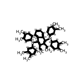 C=Cc1c(C=C)c(N(c2ccc(C)c(C)c2)c2ccc(C)c(C)c2)c2ccccc2c1N(c1ccc(C)c(C)c1)c1ccc(C)c(C)c1